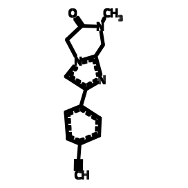 C#Cc1ccc(-c2cn3c(n2)CN(C)C(=O)C3)cc1